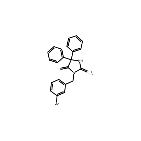 C=C1NC(c2ccccc2)(c2ccccc2)C(=O)N1Cc1cccc(C(C)=O)c1